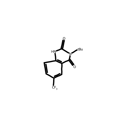 CC(C)(C)n1c(=O)[nH]c2ccc(C(F)(F)F)cc2c1=O